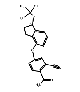 CC(C)(C)O[C@@H]1CCc2c(Oc3ccc(C(N)=O)c(C#N)c3)cccc21